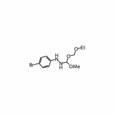 CCOCOC(NNc1ccc(Br)cc1)OC